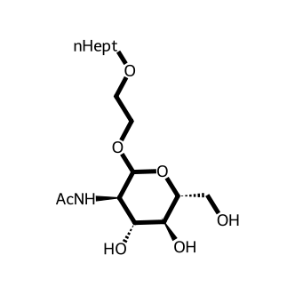 CCCCCCCOCCOC1O[C@H](CO)[C@@H](O)[C@H](O)[C@H]1NC(C)=O